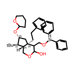 CC(C)(C)[C@@H]1[C@H]2COC(O)C(CO[SiH](c3ccccc3)c3ccccc3)[C@]2(CCc2ccccc2)C[C@H]1OC1CCCCO1